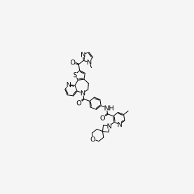 Cc1cnc(N2CC3(CCOCC3)C2)c(C(=O)Nc2ccc(C(=O)N3CCc4cc(C(=O)c5nccn5C)sc4-c4ncccc43)cc2)c1